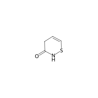 O=C1CC=CSN1